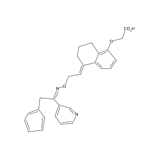 O=C(O)COc1cccc2c1CCCC2=CCON=C(Cc1ccccc1)c1cccnc1